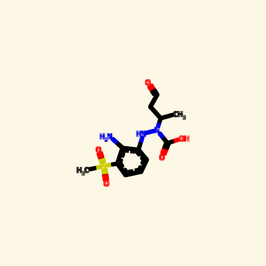 CC(CC=O)N(Nc1cccc(S(C)(=O)=O)c1N)C(=O)O